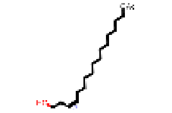 CC(=O)OCCCCCCCCCCCC/C=C\CCO